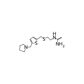 C=C(N)NCCSCc1ccc(CN2CCCC2)s1